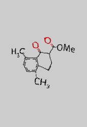 COC(=O)C1CCc2c(C)ccc(C)c2C1=O